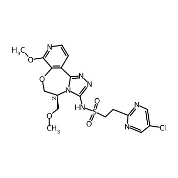 COC[C@H]1COc2c(ccnc2OC)-c2nnc(NS(=O)(=O)CCc3ncc(Cl)cn3)n21